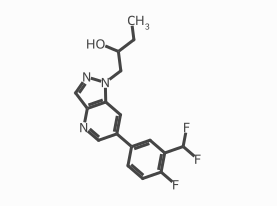 CCC(O)Cn1ncc2ncc(-c3ccc(F)c(C(F)F)c3)cc21